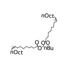 CCCCCCCC/C=C\CCCCCCCC(=O)OC(CCCC)OC(=O)CCCCCCC/C=C\CCCCCCCC